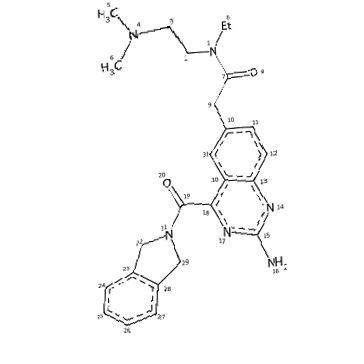 CCN(CCN(C)C)C(=O)Cc1ccc2nc(N)nc(C(=O)N3Cc4ccccc4C3)c2c1